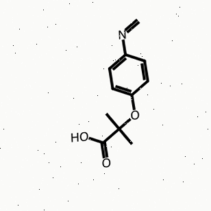 C=Nc1ccc(OC(C)(C)C(=O)O)cc1